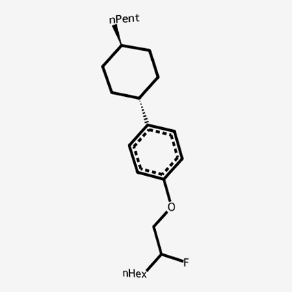 CCCCCCC(F)COc1ccc([C@H]2CC[C@H](CCCCC)CC2)cc1